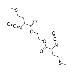 CSCCC(N=C=O)C(=O)OCCOC(=O)C(CCSC)N=C=O